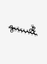 CCC(CCCCCCCCCCCCC(=O)OC)CC(=O)OC